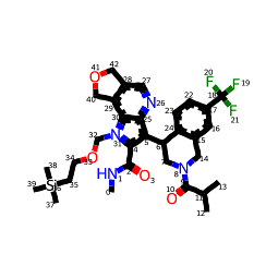 CNC(=O)c1c(C2CN(C(=O)C(C)C)Cc3cc(C(F)(F)F)ccc32)c2ncc3c(c2n1COCC[Si](C)(C)C)COC3